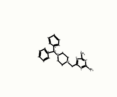 Nc1nc(N)nc(CN2CCN(C(c3ccccc3)c3ccccc3)CC2)n1